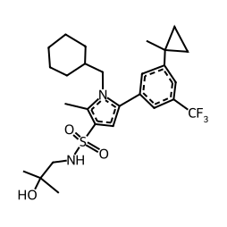 Cc1c(S(=O)(=O)NCC(C)(C)O)cc(-c2cc(C(F)(F)F)cc(C3(C)CC3)c2)n1CC1CCCCC1